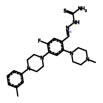 Cc1cccc(N2CCN(c3cc(N4CCN(C)CC4)c(/C=N/NC(N)=S)cc3F)CC2)c1